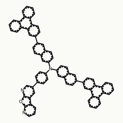 c1cnc2oc3ncc(-c4ccc(N(c5ccc6cc(-c7ccc8c9ccccc9c9ccccc9c8c7)ccc6c5)c5ccc6cc(-c7ccc8c9ccccc9c9ccccc9c8c7)ccc6c5)cc4)cc3c2c1